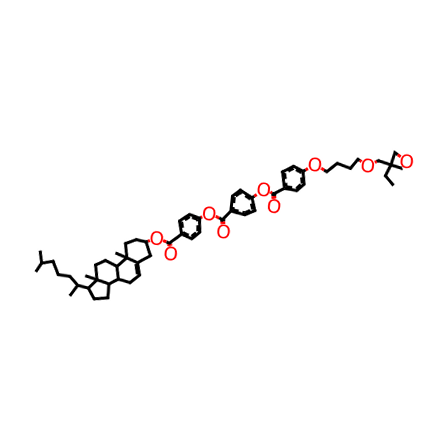 CCC1(COCCCCOc2ccc(C(=O)Oc3ccc(C(=O)Oc4ccc(C(=O)OC5CCC6(C)C(=CCC7C6CCC6(C)C(C(C)CCCC(C)C)CCC76)C5)cc4)cc3)cc2)COC1